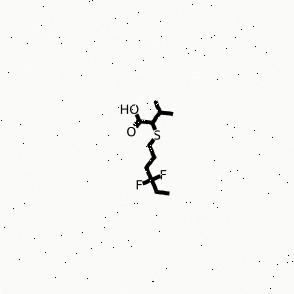 CCC(F)(F)CCCSC(C(=O)O)C(C)C